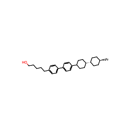 CCC[C@H]1CC[C@H](C2CCC(c3ccc(-c4ccc(CCCCCO)cc4)cc3)CC2)CC1